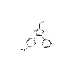 CCc1nc(-c2ccc(OC)cc2)c(-c2cccnc2)s1